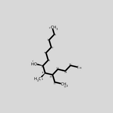 CCCCCC[C@H](O)[C@H](C)C(CC)CCCI